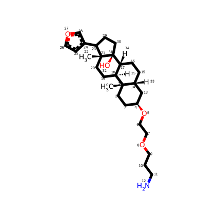 C[C@]12CC[C@H](OCCOCCCN)C[C@H]1CC[C@@H]1[C@@H]2CC[C@]2(C)C(c3ccoc3)CC[C@]12O